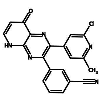 Cc1cc(-c2nc3c(=O)cc[nH]c3nc2-c2cccc(C#N)c2)cc(Cl)n1